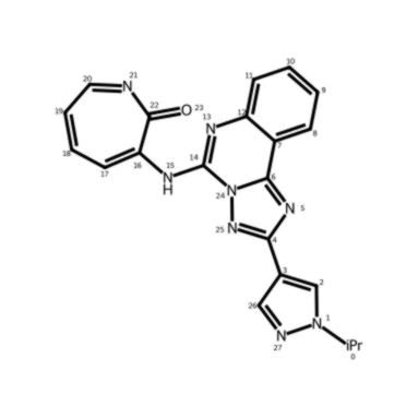 CC(C)n1cc(-c2nc3c4ccccc4nc(Nc4ccccnc4=O)n3n2)cn1